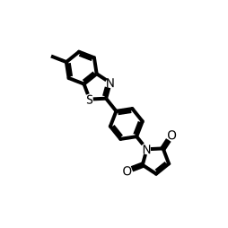 Cc1ccc2nc(-c3ccc(N4C(=O)C=CC4=O)cc3)sc2c1